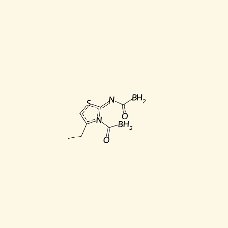 BC(=O)/N=c1/scc(CC)n1C(B)=O